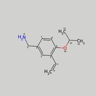 C=Cc1cc(CN)ccc1OC(C)C